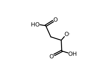 [O]C(CC(=O)O)C(=O)O